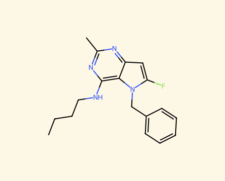 CCCCNc1nc(C)nc2cc(F)n(Cc3ccccc3)c12